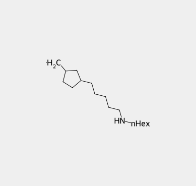 [CH2]C1CCC(CCCCCNCCCCCC)C1